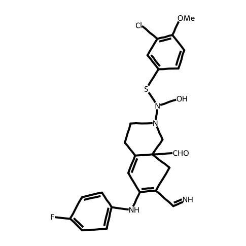 COc1ccc(SN(O)N2CCC3=CC(Nc4ccc(F)cc4)=C(C=N)CC3(C=O)C2)cc1Cl